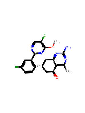 COc1nc(-c2cc(F)ccc2[C@H]2CC(=O)c3c(C)nc(N)nc3C2)ncc1Cl